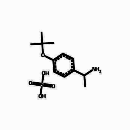 CC(N)c1ccc(OC(C)(C)C)cc1.O=S(=O)(O)O